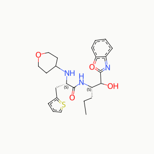 CCC[C@H](NC(=O)[C@H](Cc1cccs1)NC1CCOCC1)C(O)c1nc2ccccc2o1